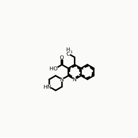 CCc1c(C(=O)O)c(N2CCNCC2)nc2ccccc12